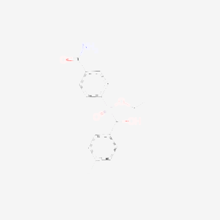 CCOP(=O)(c1ccc(C(N)=O)cc1)C(O)c1ccc(F)cc1